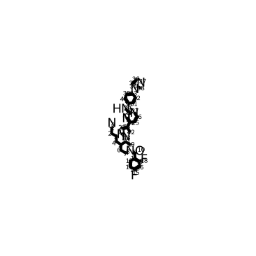 N#CCC(CC1CCN(C(=O)c2ccc(F)cc2F)CC1)n1cc(-c2ccnc(Nc3ccc(-n4ccnc4)cc3)n2)cn1